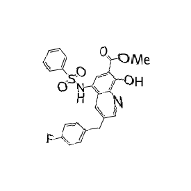 COC(=O)c1cc(NS(=O)(=O)c2ccccc2)c2cc(Cc3ccc(F)cc3)cnc2c1O